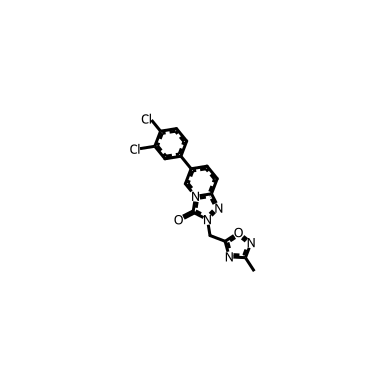 Cc1noc(Cn2nc3ccc(-c4ccc(Cl)c(Cl)c4)cn3c2=O)n1